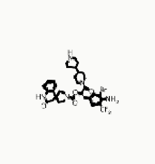 Nc1c(Br)cc(C[C@@H](OC(=O)N2CCC3(CC2)CC(=O)Nc2ccccc23)C(=O)N2CCC(C3CCNCC3)CC2)cc1C(F)(F)F